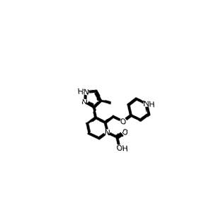 Cc1c[nH]nc1C1CCCN(C(=O)O)C1COC1CCNCC1